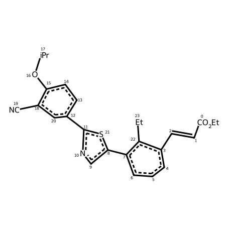 CCOC(=O)C=Cc1cccc(-c2cnc(-c3ccc(OC(C)C)c(C#N)c3)s2)c1CC